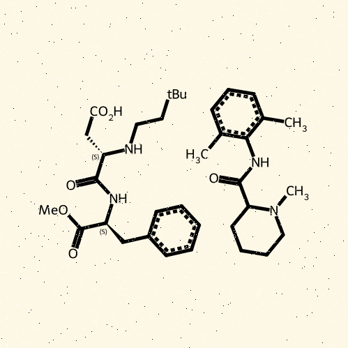 COC(=O)[C@H](Cc1ccccc1)NC(=O)[C@H](CC(=O)O)NCCC(C)(C)C.Cc1cccc(C)c1NC(=O)C1CCCCN1C